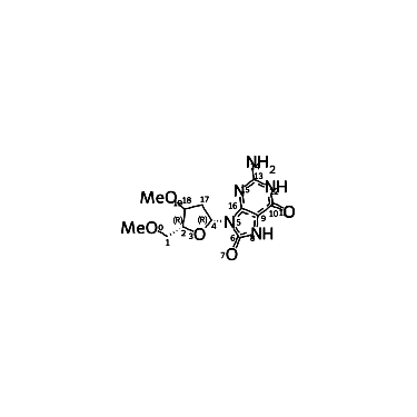 COC[C@H]1O[C@@H](n2c(=O)[nH]c3c(=O)[nH]c(N)nc32)CC1OC